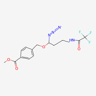 COC(=O)c1ccc(COC(CCCNC(=O)C(F)(F)F)N=[N+]=[N-])cc1